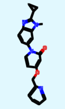 Cn1c(C2CC2)nc2ccc(-n3ccc(OCc4ccccn4)cc3=O)cc21